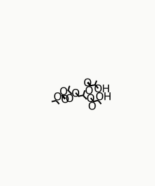 CC(C)OC(=O)OC(C)C(=O)OCC(COC(=O)C(C)O)COC(=O)C(C)O